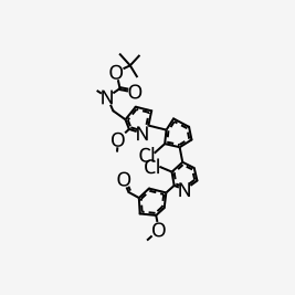 COc1cc(C=O)cc(-c2nccc(-c3cccc(-c4ccc(CN(C)C(=O)OC(C)(C)C)c(OC)n4)c3Cl)c2Cl)c1